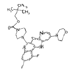 Cc1c(N2CCN(C(=O)OCC(C)(C)C)CC2)nc2cc(F)cc(F)c2c1Nc1cncc(N2CCOCC2)c1